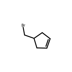 BrCC1CC=CC1